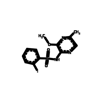 COc1nc(C)cnc1NS(=O)(=O)c1ccccc1I